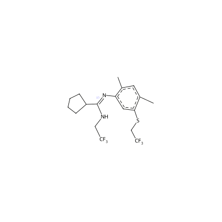 Cc1cc(C)c(SCC(F)(F)F)cc1/N=C(\NCC(F)(F)F)C1CCCC1